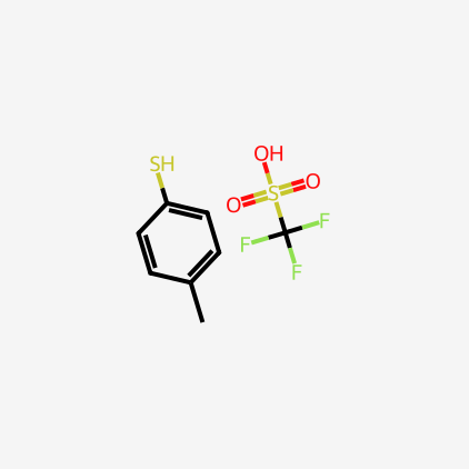 Cc1ccc(S)cc1.O=S(=O)(O)C(F)(F)F